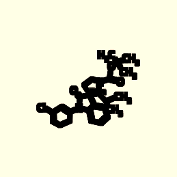 CC(C)[C@@H]1N(C(=O)OC(C)(C)C)CC[C@@]12C(=O)N(C1=CC(Cl)=CCC1)c1ccccc12